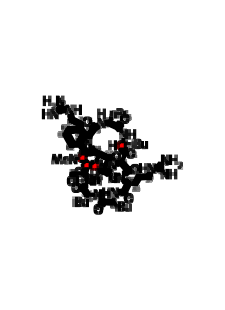 CCC[C@@H]1NC(=O)[C@H](CCCNC(=N)N)NC(=O)[C@H](NC(=O)[C@H](CO)NC(=O)[C@@H](NC(=O)[C@H](NC(=O)[C@@H](CCCNC(=N)N)NC(=O)[C@H](CO)NC(=O)[C@@H](NC(=O)[C@@H](Cc2ccccc2)NC)[C@@H](C)CC)[C@H](C)CC)[C@@H](C)CC)[C@H](C)OC(=O)[C@H]([C@@H](C)CC)NC1=O